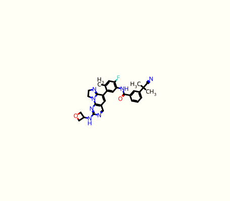 Cc1cc(F)c(NC(=O)c2cccc(C(C)(C)C#N)c2)cc1C1=Cc2cnc(NC3COC3)nc2N2CCN=C12